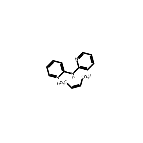 O=C(O)/C=C\C(=O)O.c1ccc(Nc2ccccn2)nc1